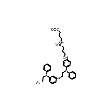 O=C([O-])CCCO.O=C([O-])CCCO.[Au+][CH2]CP(c1ccccc1)c1ccccc1.[Au+][CH2]CP(c1ccccc1)c1ccccc1